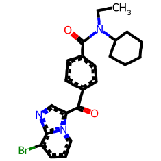 CCN(C(=O)c1ccc(C(=O)c2cnc3c(Br)cccn23)cc1)C1CCCCC1